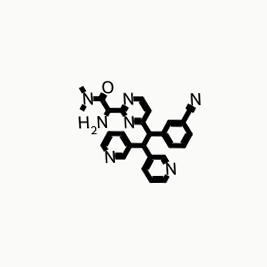 CN(C)C(=O)C(N)c1nccc(C(c2cccc(C#N)c2)C(c2cccnc2)c2cccnc2)n1